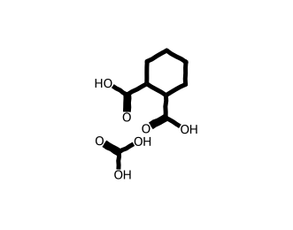 O=C(O)C1CCCCC1C(=O)O.O=C(O)O